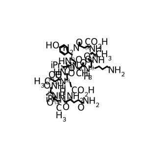 CC(C)C[C@H](NC(=O)[C@H](C)NC(=O)[C@@H](N)CCC(N)=O)C(=O)N[C@H](C(=O)N[C@@H](CCC(=O)O)C(=O)N[C@H](C(=O)N[C@@H](Cc1ccc(O)cc1)C(=O)N[C@@H](C)C(=O)N[C@@H](CCCCN)C(=O)N[C@@H](C)C(=O)N[C@@H](CC(N)=O)C(=O)O)C(C)C)[C@@H](C)O